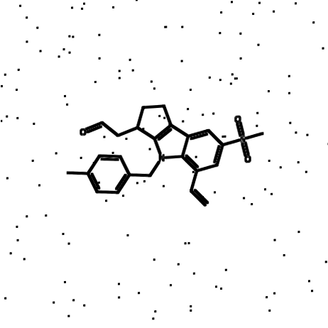 C=Cc1cc(S(C)(=O)=O)cc2c3c(n(Cc4ccc(C)cc4)c12)C(CC=O)CC3